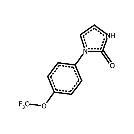 O=c1[nH]ccn1-c1ccc(OC(F)(F)F)cc1